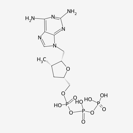 C[C@H]1C[C@@H](COP(=O)(O)OP(=O)(O)OP(=O)(O)O)O[C@H]1Cn1cnc2c(N)nc(N)nc21